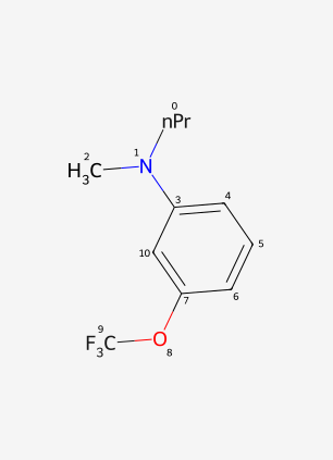 [CH2]CCN(C)c1cccc(OC(F)(F)F)c1